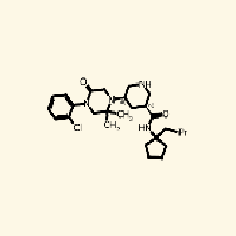 CC(C)CC1(NC(=O)[C@@H]2CNC[C@H](N3CC(=O)N(c4ccccc4Cl)CC3(C)C)C2)CCCC1